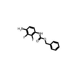 Bc1ccc(NC(=O)OCc2ccccc2)c(F)c1F